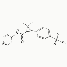 CC1(C)C(C(=O)Nc2ccncc2)C1c1ccc(S(N)(=O)=O)cc1